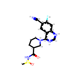 C[S+]([O-])NC(=O)C1CCCN(c2ncnc3cc(F)c(C#N)cc23)C1